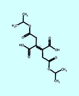 CC(C)OC(=O)C/C(C(=O)O)=C(/CC(=O)OC(C)C)C(=O)O